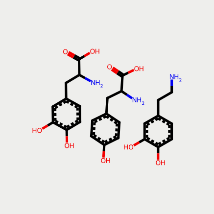 NC(Cc1ccc(O)c(O)c1)C(=O)O.NC(Cc1ccc(O)cc1)C(=O)O.NCCc1ccc(O)c(O)c1